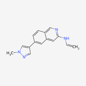 C=CNc1cc2cc(-c3cnn(C)c3)ccc2cn1